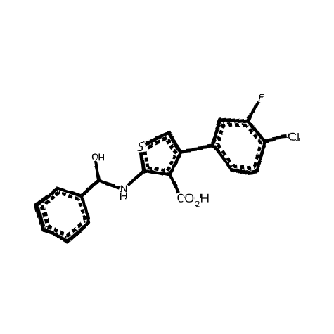 O=C(O)c1c(-c2ccc(Cl)c(F)c2)csc1NC(O)c1ccccc1